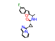 CC(NC(=O)[C@@H]1C[C@H]1c1ncc2ccccn12)c1cc2cc(F)ccc2o1